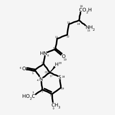 CC1=C(C(=O)O)N2C(=O)C(NC(=O)CCCC(N)C(=O)O)[C@@H]2SC1